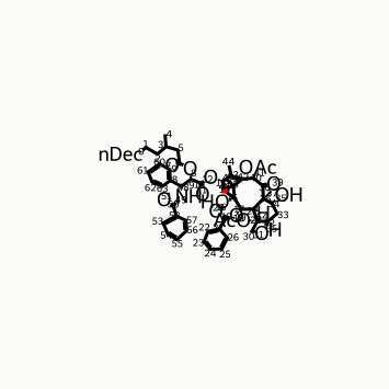 CCCCCCCCCCCCC(C)CC(=O)O[C@@H](C(=O)O[C@H]1C[C@@]2(O)[C@@H](OC(=O)c3ccccc3)[C@@H]3[C@]4(OC(C)=O)CO[C@@H]4C[C@H](O)[C@@]3(C)C(=O)[C@H](OC(C)=O)C(=C1C)C2(C)C)[C@@H](NC(=O)c1ccccc1)c1ccccc1